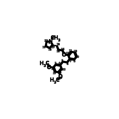 COc1cc(CCc2ccccc2OCCC[C@@H]2CCCN2C)cc(OC)c1